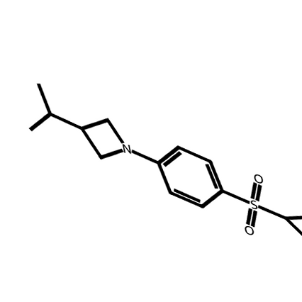 CC(C)C1CN(c2ccc(S(=O)(=O)C3CC3)cc2)C1